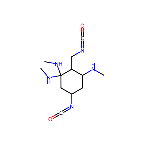 CNC1C[C](N=C=O)CC(NC)(NC)C1CN=C=O